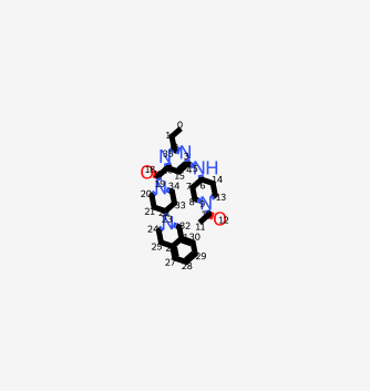 CCc1nc(NC2CCN(C(C)=O)CC2)cc(C(=O)N2CCC(N3CCc4ccccc4C3)CC2)n1